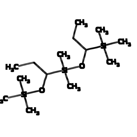 CCC(O[Si](C)(C)C(CC)O[Si](C)(C)C)[Si](C)(C)C